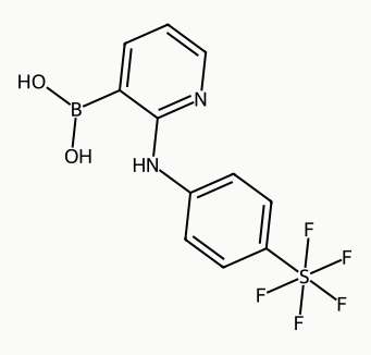 OB(O)c1cccnc1Nc1ccc(S(F)(F)(F)(F)F)cc1